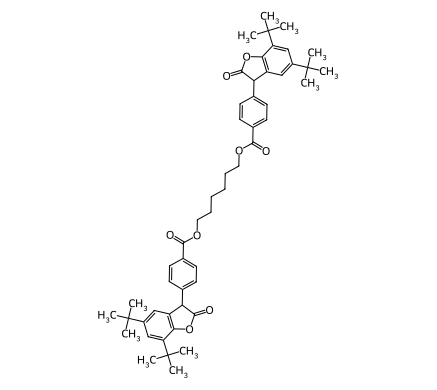 CC(C)(C)c1cc2c(c(C(C)(C)C)c1)OC(=O)C2c1ccc(C(=O)OCCCCCCOC(=O)c2ccc(C3C(=O)Oc4c3cc(C(C)(C)C)cc4C(C)(C)C)cc2)cc1